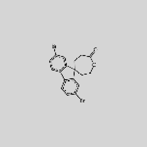 O=C1CCC2(CCO1)c1cc(Br)ccc1-c1ccc(Br)cc12